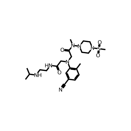 Cc1ccc(C#N)cc1N(CC(=O)NCCNC(C)C)CC(=O)N(C)N1CCN(S(C)(=O)=O)CC1